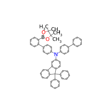 CC1(C)OB(c2ccccc2-c2ccc(N(c3ccc(-c4ccccc4)cc3)c3ccc4c(c3)-c3ccccc3C4(c3ccccc3)c3ccccc3)cc2)OC1(C)C